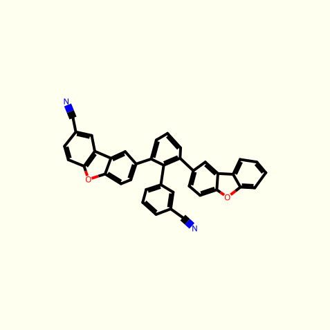 N#Cc1cccc(-c2c(-c3ccc4oc5ccccc5c4c3)cccc2-c2ccc3oc4ccc(C#N)cc4c3c2)c1